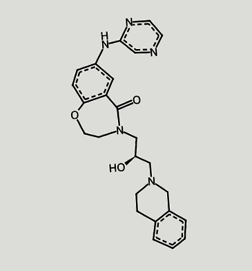 O=C1c2cc(Nc3cnccn3)ccc2OCCN1C[C@H](O)CN1CCc2ccccc2C1